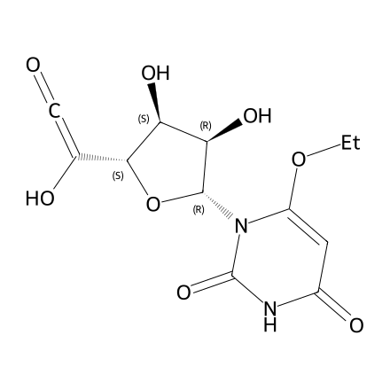 CCOc1cc(=O)[nH]c(=O)n1[C@@H]1O[C@H](C(O)=C=O)[C@@H](O)[C@H]1O